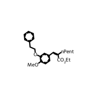 CCCCCC(=Cc1ccc(OC)c(OCCc2ccccc2)c1)C(=O)OCC